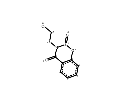 O=C1c2ccccc2OS(=O)N1SCCl